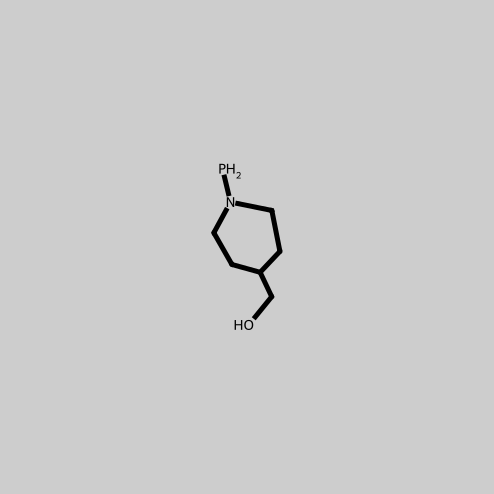 OCC1CCN(P)CC1